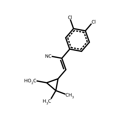 CC1(C)C(C=C(C#N)c2ccc(Cl)c(Cl)c2)C1C(=O)O